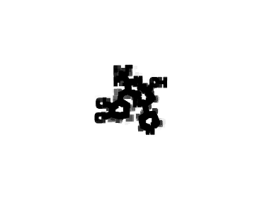 Oc1cc(-c2ccncc2)nc2c(Cc3cccc(Cl)c3Cl)c(C(F)(F)F)nn12